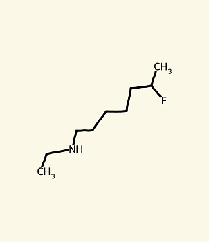 CCNCCCCCC(C)F